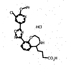 CC(C)Oc1ncc(-c2nc(-c3cccc4c3OCCNC4CCCC(=O)O)no2)cc1Cl.Cl